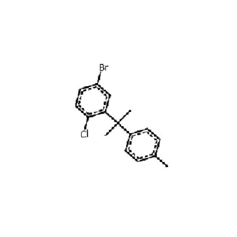 Cc1ccc(C(C)(C)c2cc(Br)ccc2Cl)cc1